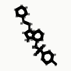 Cc1ccc(S(=O)(=O)Nc2cccc3c(N=Nc4ccccc4)c[nH]c23)cc1